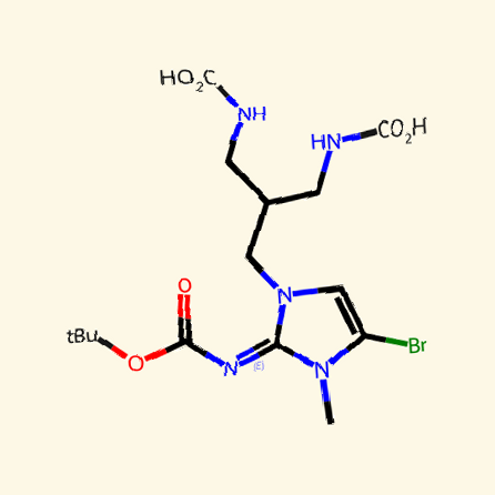 Cn1c(Br)cn(CC(CNC(=O)O)CNC(=O)O)/c1=N\C(=O)OC(C)(C)C